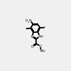 Cc1c([N+](=O)[O-])cc(F)c2[nH]c(C(=O)OC(C)(C)C)nc12